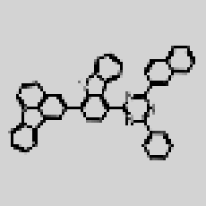 c1ccc(-c2nc(-c3ccc4ccccc4c3)nc(-c3ccc(-c4cc5c6c(cccc6c4)-c4ccccc4-5)c4oc5ccccc5c34)n2)cc1